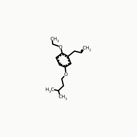 C=CCc1cc(OCCC(C)C)ccc1OCC